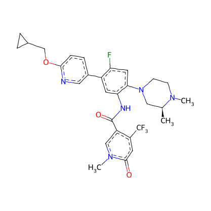 C[C@H]1CN(c2cc(F)c(-c3ccc(OCC4CC4)nc3)cc2NC(=O)c2cn(C)c(=O)cc2C(F)(F)F)CCN1C